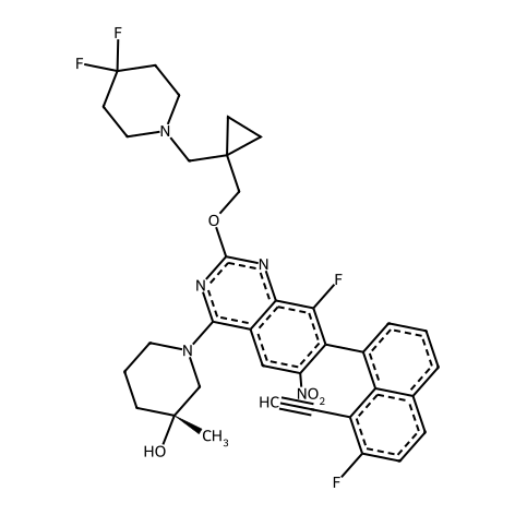 C#Cc1c(F)ccc2cccc(-c3c([N+](=O)[O-])cc4c(N5CCC[C@@](C)(O)C5)nc(OCC5(CN6CCC(F)(F)CC6)CC5)nc4c3F)c12